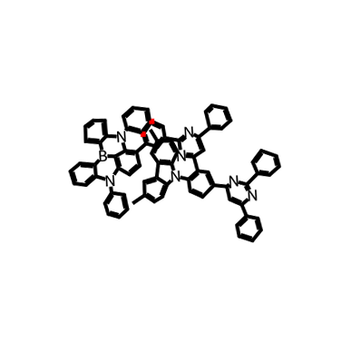 Cc1ccc2c(c1)c1cc(C)ccc1n2-c1ccc(-c2cc(-c3ccccc3)nc(-c3ccccc3)n2)cc1-c1cc(-c2ccccc2)nc(-c2cccc(-c3ccc4c5c3N(c3ccccc3)c3ccccc3B5c3ccccc3N4c3ccccc3)c2)n1